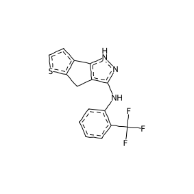 FC(F)(F)c1ccccc1Nc1n[nH]c2c1Cc1sccc1-2